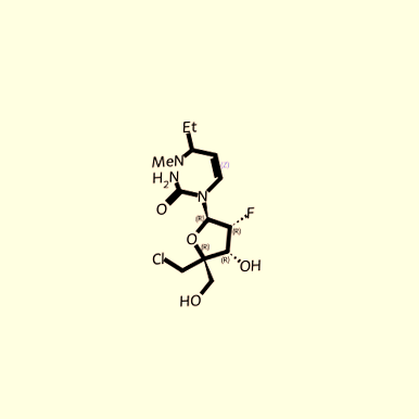 CCC(/C=C\N(C(N)=O)[C@@H]1O[C@@](CO)(CCl)[C@@H](O)[C@H]1F)NC